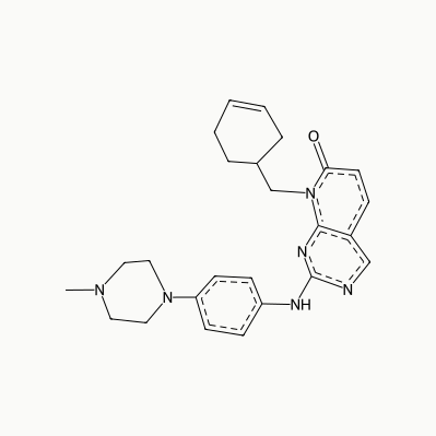 CN1CCN(c2ccc(Nc3ncc4ccc(=O)n(CC5CC=CCC5)c4n3)cc2)CC1